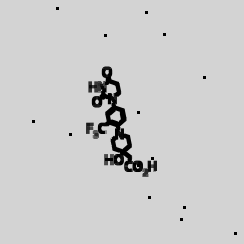 O=C(O)CC1(O)CCN(c2ccc(N3CCC(=O)NC3=O)cc2C(F)(F)F)CC1